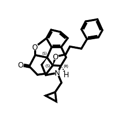 O=C1CC[C@@]2(OCCCc3ccccc3)[C@H]3Cc4cccc5c4[C@@]2(CCN3CC2CC2)C1O5